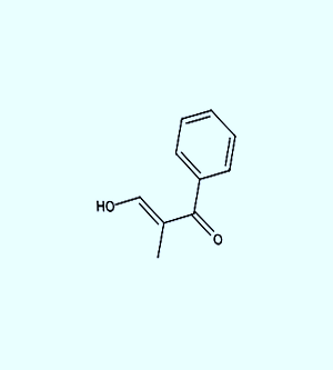 CC(=CO)C(=O)c1ccccc1